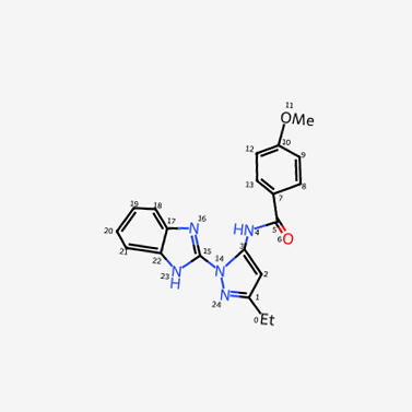 CCc1cc(NC(=O)c2ccc(OC)cc2)n(-c2nc3ccccc3[nH]2)n1